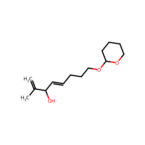 C=C(C)C(O)C=CCCCOC1CCCCO1